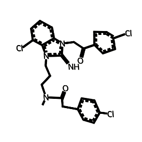 CN(CCCn1c(=N)n(CC(=O)c2ccc(Cl)cc2)c2cccc(Cl)c21)C(=O)Cc1ccc(Cl)cc1